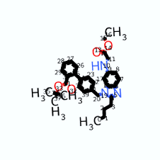 CCCCc1nc2ccc(NCC(=O)OCC)cc2n1Cc1ccc(-c2ccccc2C(=O)OC(C)(C)C)cc1